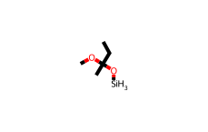 CCC(C)(OC)O[SiH3]